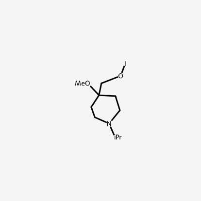 COC1(COI)CCN(C(C)C)CC1